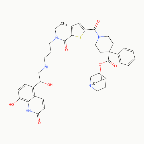 CCN(CCCNCC(O)c1ccc(O)c2[nH]c(=O)ccc12)C(=O)c1ccc(C(=O)N2CCC(C(=O)OC3CN4CCC3CC4)(c3ccccc3)CC2)s1